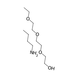 CCCCN.CCOCCOCCOCCO